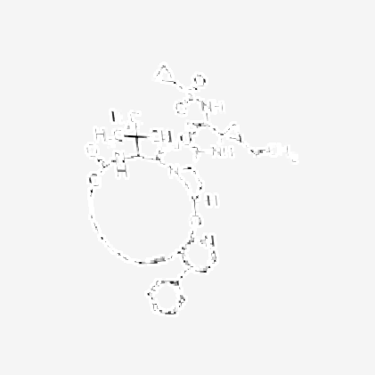 C=C[C@@H]1C[C@]1(NC(=O)[C@@H]1C[C@@H]2CN1C(=O)[C@H](C(C)(C)C)NC(=O)OCCCCCC=Cc1c(-c3ccccc3)ccnc1O2)C(=O)NS(=O)(=O)C1CC1